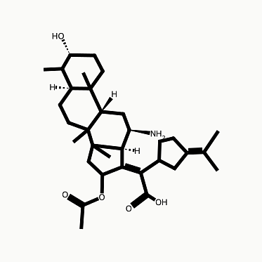 CC(=O)OC1CC2(C)[C@H](/C1=C(/C(=O)O)C1CCC(=C(C)C)C1)[C@H](N)C[C@H]1C3(C)CC[C@@H](O)C(C)[C@@H]3CCC12C